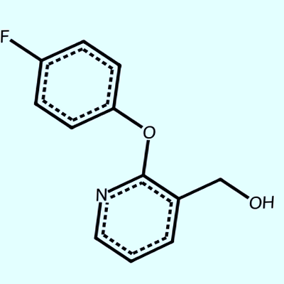 OCc1cccnc1Oc1ccc(F)cc1